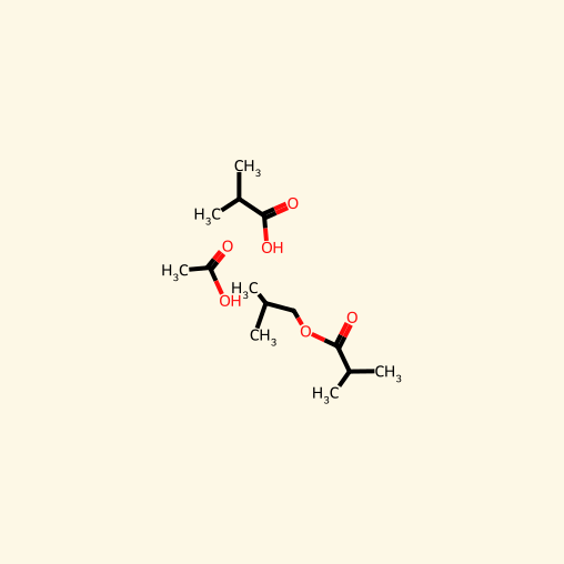 CC(=O)O.CC(C)C(=O)O.CC(C)COC(=O)C(C)C